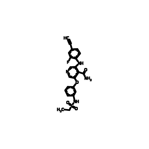 C#Cc1ccc(Nc2cncc(Oc3cccc(NS(=O)(=O)CC)c3)c2C(N)=O)c(F)c1